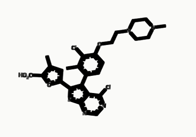 Cc1cc(-c2sc3ncnc(Cl)c3c2-c2ccc(OCCN3CCN(C)CC3)c(Cl)c2C)oc1C(=O)O